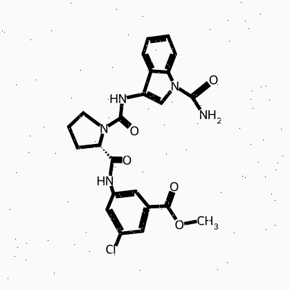 COC(=O)c1cc(Cl)cc(NC(=O)[C@@H]2CCCN2C(=O)Nc2cn(C(N)=O)c3ccccc23)c1